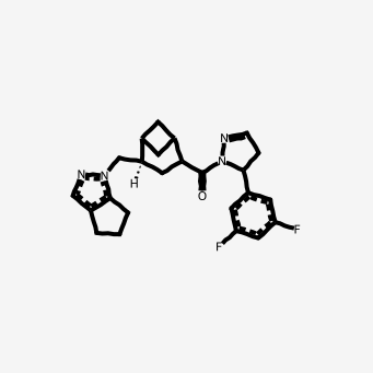 O=C(C1C[C@@H](Cn2ncc3c2CCC3)C2CC1C2)N1N=CCC1c1cc(F)cc(F)c1